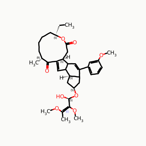 CC[C@H]1CCCC[C@@H](C)C(=O)C2=CC3C(C=C(c4cccc(OC)c4)C4C[C@@H](O[C@H](O)/C(OC)=C(/C)OC)C[C@H]43)[C@@H]2CC(=O)O1